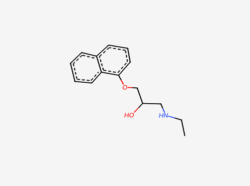 CCNCC(O)COc1cccc2ccccc12